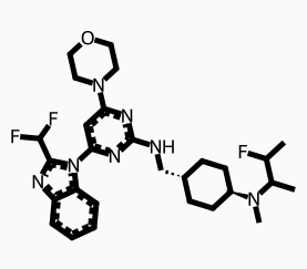 CC(F)C(C)N(C)[C@H]1CC[C@H](CNc2nc(N3CCOCC3)cc(-n3c(C(F)F)nc4ccccc43)n2)CC1